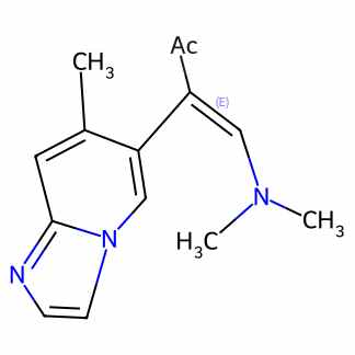 CC(=O)/C(=C/N(C)C)c1cn2ccnc2cc1C